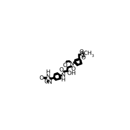 CS(=O)(=O)Cc1cccc(N2CCO[C@H]([C@@H](O)C(=O)Nc3ccc(-c4noc(=O)[nH]4)cc3)C2=O)c1